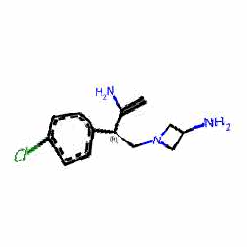 C=C(N)[C@@H](CN1CC(N)C1)c1ccc(Cl)cc1